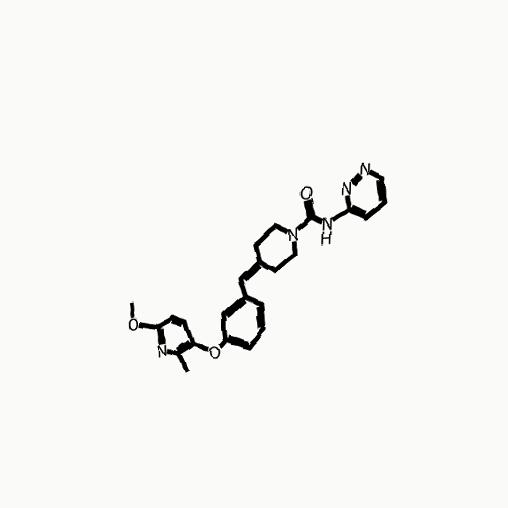 COc1ccc(Oc2cccc(C=C3CCN(C(=O)Nc4cccnn4)CC3)c2)c(C)n1